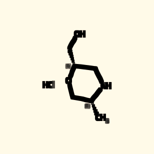 C[C@@H]1CO[C@H](CO)CN1.Cl